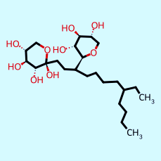 CCCCC(CC)CCCCC(CC[C@@]1(O)OC[C@@H](O)[C@H](O)[C@H]1O)[C@@H]1OC[C@@H](O)[C@H](O)[C@H]1O